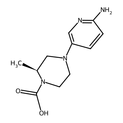 C[C@H]1CN(c2ccc(N)nc2)CCN1C(=O)O